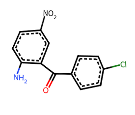 Nc1ccc([N+](=O)[O-])cc1C(=O)c1ccc(Cl)cc1